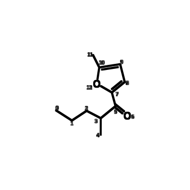 CCCC(C)C(=O)c1ccc(C)o1